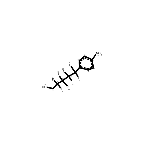 O=[N+]([O-])c1ccc(C(F)(F)C(F)(F)C(F)(F)C(F)(F)CO)cc1